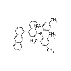 Cc1cc(C)c(B(c2c(C)cc(C)cc2C)c2ccc(-c3cccc4cc5ccccc5cc34)c3ccccc23)c(C)c1